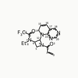 C=CC(=O)N1CC(N(CC)C(=O)C(F)(F)F)C1N1CC=Cc2cncnc21